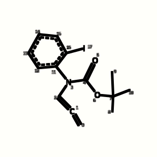 C=C=CN(C(=O)OC(C)(C)C)c1ccccc1I